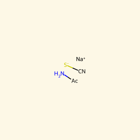 CC(N)=O.N#C[S-].[Na+]